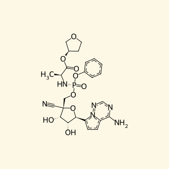 C[C@H](N[P@](=O)(OC[C@@]1(C#N)O[C@@H](c2ccc3c(N)ncnn23)[C@H](O)[C@@H]1O)Oc1ccccc1)C(=O)O[C@@H]1CCOC1